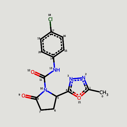 Cc1nnc(C2CCC(=O)N2C(=O)Nc2ccc(Cl)cc2)o1